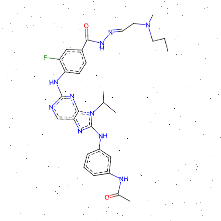 CCCN(C)C/C=N/NC(=O)c1ccc(Nc2ncc3nc(Nc4cccc(NC(C)=O)c4)n(C(C)C)c3n2)c(F)c1